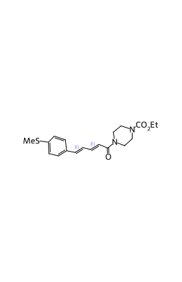 CCOC(=O)N1CCN(C(=O)/C=C/C=C/c2ccc(SC)cc2)CC1